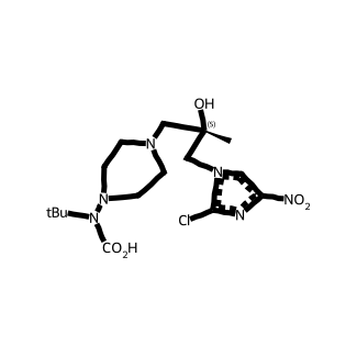 CC(C)(C)N(C(=O)O)N1CCN(C[C@](C)(O)Cn2cc([N+](=O)[O-])nc2Cl)CC1